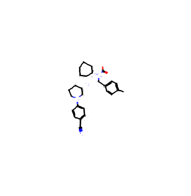 Cc1ccc(CN(C(=O)O)[C@@H]2CCCC[C@H]2N[C@H]2CCCN(c3ccc(C#N)cc3)C2)cc1